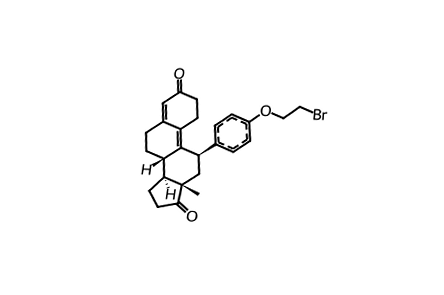 C[C@]12C[C@H](c3ccc(OCCBr)cc3)C3=C4CCC(=O)C=C4CC[C@H]3[C@@H]1CCC2=O